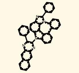 c1ccc(-c2nc3cc4ccccc4cc3nc2-n2c3cccc4c5ccccc5n5c(-c6ccccc6)nc6ccc2c(c43)c65)cc1